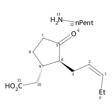 CC/C=C\C[C@@H]1C(=O)CC[C@H]1CC(=O)O.CCCCCN